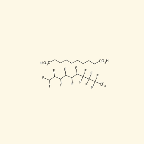 FC(F)C(F)C(F)C(F)C(F)C(F)C(F)(F)C(F)(F)C(F)(F)C(F)(F)F.O=C(O)CCCCCCCCC(=O)O